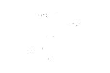 O=C(Cl)C1CNCC(Br)C1